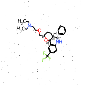 CCN(CC)CCOC[C@H]1CC[C@@H]2[C@H](O1)c1cc(C(F)(F)F)ccc1N[C@H]2c1ccccc1